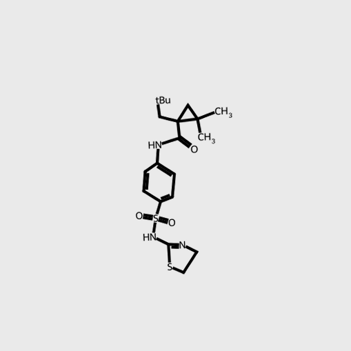 CC(C)(C)CC1(C(=O)Nc2ccc(S(=O)(=O)NC3=NCCS3)cc2)CC1(C)C